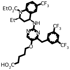 CCOC(=O)N1c2ccc(C(F)(F)F)cc2[C@@H](Nc2ncc(OCCCCC(=O)O)c(Cc3cc(C(F)(F)F)cc(C(F)(F)F)c3)n2)C[C@H]1CC